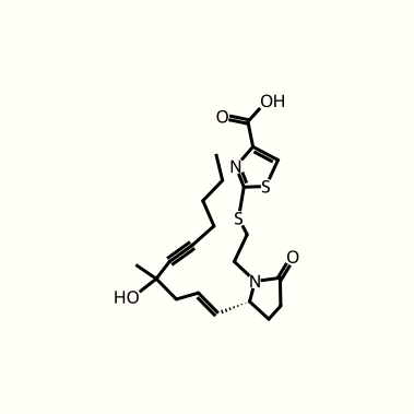 CCCCC#CC(C)(O)C/C=C/[C@H]1CCC(=O)N1CCSc1nc(C(=O)O)cs1